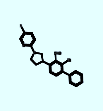 CCc1c(-c2ccccc2)ccc(C2CCN(c3ccc(F)cn3)C2)c1C=O